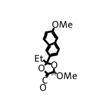 CCC1(c2ccc3cc(OC)ccc3c2)OC(=C=O)[C@H](OC)O1